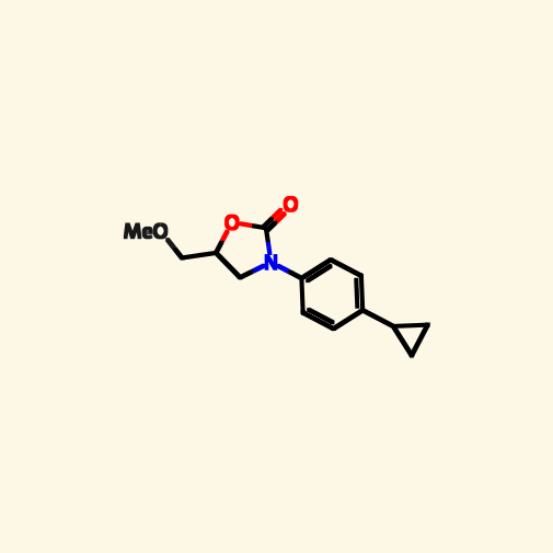 COCC1CN(c2ccc(C3CC3)cc2)C(=O)O1